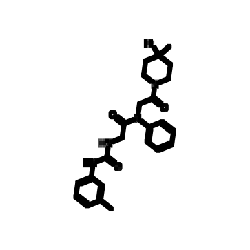 CCC1(C)CCN(C(=O)CN(C(=O)CNC(=O)Nc2cccc(C)c2)c2ccccc2)CC1